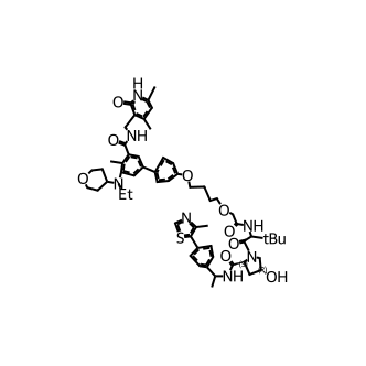 CCN(c1cc(-c2ccc(OCCCCOCC(=O)NC(C(=O)N3C[C@H](O)C[C@H]3C(=O)NC(C)c3ccc(-c4scnc4C)cc3)C(C)(C)C)cc2)cc(C(=O)NCc2c(C)cc(C)[nH]c2=O)c1C)C1CCOCC1